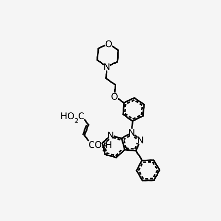 O=C(O)C=CC(=O)O.c1ccc(-c2nn(-c3cccc(OCCN4CCOCC4)c3)c3ncccc23)cc1